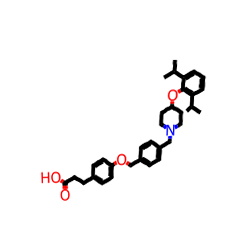 CC(C)c1cccc(C(C)C)c1OC1CCN(Cc2ccc(COc3ccc(CCC(=O)O)cc3)cc2)CC1